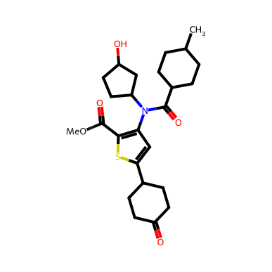 COC(=O)c1sc(C2CCC(=O)CC2)cc1N(C(=O)C1CCC(C)CC1)C1CCC(O)C1